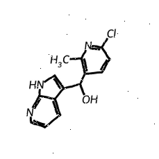 Cc1nc(Cl)ccc1C(O)c1c[nH]c2ncccc12